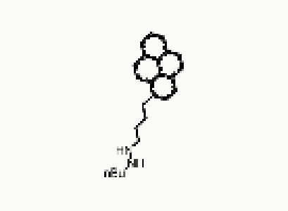 CCCCNNCCCCc1ccc2ccc3cccc4ccc1c2c34